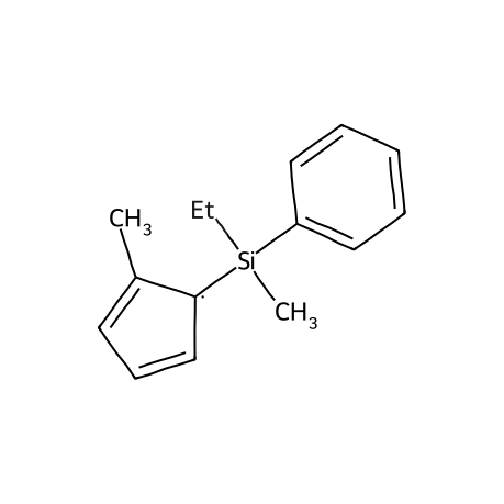 CC[Si](C)([C]1C=CC=C1C)c1ccccc1